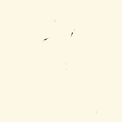 C=C[C@@]12CCc3cc(O)ccc3[C@H]1CC[C@@]1(C)[C@H]2CC[C@@]1(O)CCCCC(=O)O